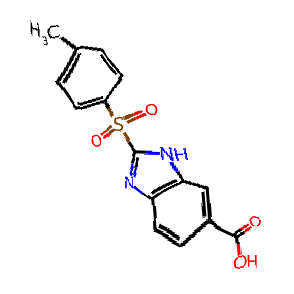 Cc1ccc(S(=O)(=O)c2nc3ccc(C(=O)O)cc3[nH]2)cc1